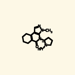 CCCN1CCC[C@@H]1n1c(=O)c2c(c3cnn(C)c31)CCCC2